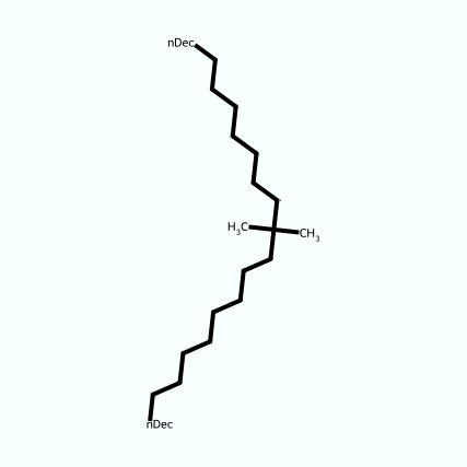 CCCCCCCCCCCCCCCC[CH]C(C)(C)CCCCCCCCCCCCCCCCCC